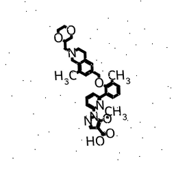 COc1c(C(=O)O)cnn1-c1cccc(-c2cccc(C)c2OCc2cc(C)c3c(c2)CCN(CC2COCCO2)C3)n1